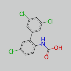 O=C(O)Nc1ccc(Cl)cc1-c1cc(Cl)cc(Cl)c1